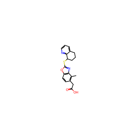 Cc1c(CC(=O)O)ccc2oc(SC3CCCc4cccnc43)nc12